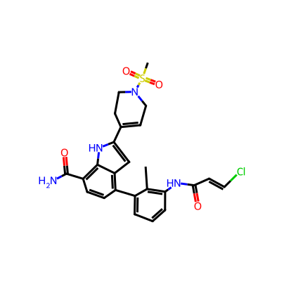 Cc1c(NC(=O)C=CCl)cccc1-c1ccc(C(N)=O)c2[nH]c(C3=CCN(S(C)(=O)=O)CC3)cc12